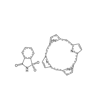 C1=Cc2cc3ccc(cc4nc(cc5ccc(cc1n2)[nH]5)C=C4)[nH]3.O=C1NS(=O)(=O)c2ccccc21